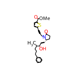 COC(=O)c1ccc(C#CCN2C(=O)CC[C@@H]2/C=C/C(O)C(C)CCCc2ccccc2)s1